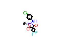 CC(C)OC(=O)C1(C(=O)NNc2ccc(Cl)cc2)CC(F)(F)C1